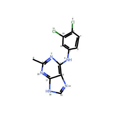 Cc1nc(Nc2ccc(Cl)c(Cl)c2)c2nc[nH]c2n1